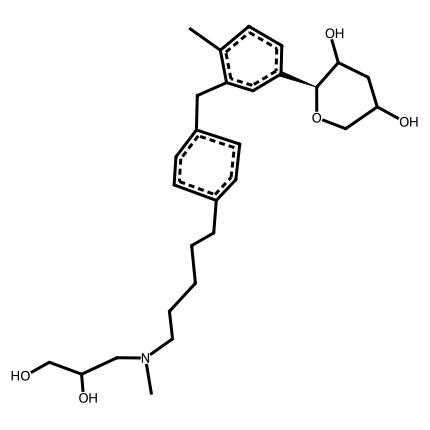 Cc1ccc([C@@H]2OCC(O)CC2O)cc1Cc1ccc(CCCCCN(C)CC(O)CO)cc1